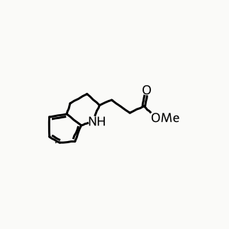 COC(=O)CCC1CCc2cc[c]cc2N1